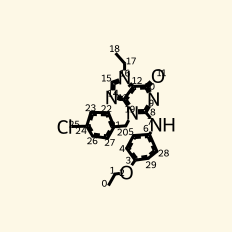 CCOc1ccc(Nc2nc(=O)c3c(ncn3CC)n2Cc2ccc(Cl)cc2)cc1